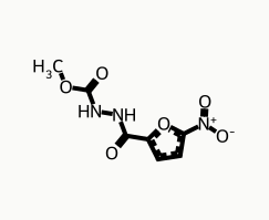 COC(=O)NNC(=O)c1ccc([N+](=O)[O-])o1